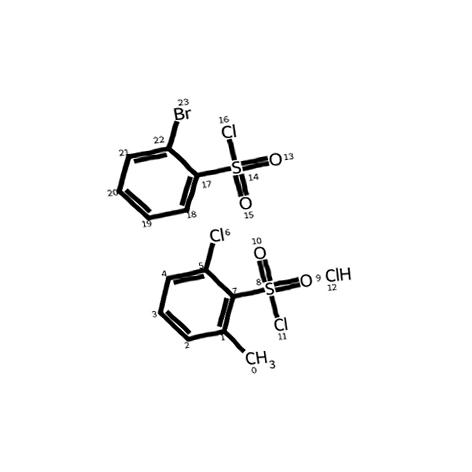 Cc1cccc(Cl)c1S(=O)(=O)Cl.Cl.O=S(=O)(Cl)c1ccccc1Br